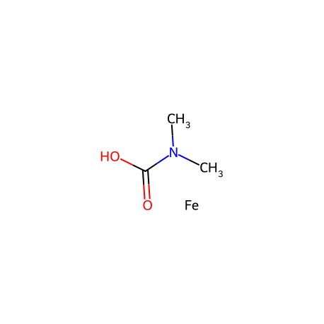 CN(C)C(=O)O.[Fe]